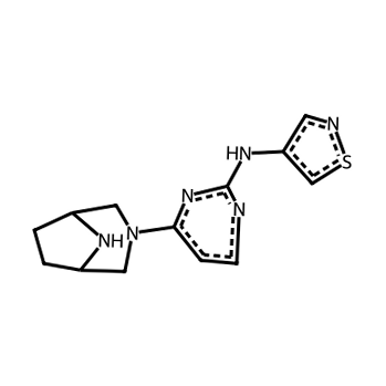 c1cc(N2CC3CCC(C2)N3)nc(Nc2cnsc2)n1